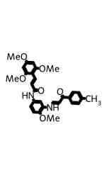 COc1cc(OC)c(C=CC(=O)Nc2ccc(OC)c(NC=CC(=O)c3ccc(C)cc3)c2)c(OC)c1